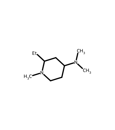 CCC1CC(N(C)C)CCN1C